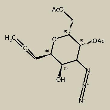 C=C=C[C@H]1O[C@H](COC(C)=O)[C@H](OC(C)=O)C(N=[N+]=[N-])[C@H]1O